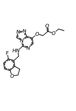 CCOC(=O)COc1cnc(NCc2c(F)ccc3c2CCO3)n2cnnc12